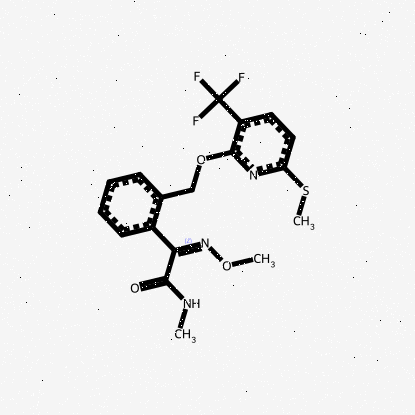 CNC(=O)/C(=N\OC)c1ccccc1COc1nc(SC)ccc1C(F)(F)F